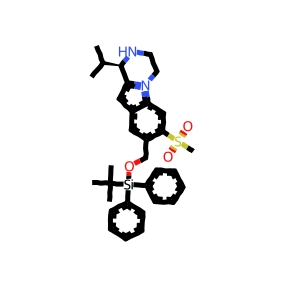 CC(C)[C@H]1NCCn2c1cc1cc(CO[Si](c3ccccc3)(c3ccccc3)C(C)(C)C)c(S(C)(=O)=O)cc12